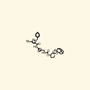 CC(C)(C)c1cc(C(=O)Nc2nc(CNC(=O)OC3CCC[C@]4(C3)OOC3(O4)C4CC5CC(C4)CC3C5)cs2)n(Cc2ccccc2)n1